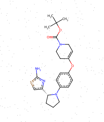 CC(C)(C)OC(=O)N1CC=C(Oc2ccc(N3CCC[C@@H]3c3csc(N)n3)cc2)CC1